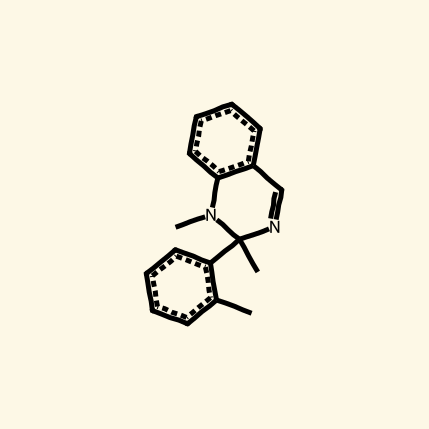 Cc1ccccc1C1(C)N=Cc2ccccc2N1C